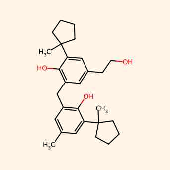 Cc1cc(Cc2cc(CCO)cc(C3(C)CCCC3)c2O)c(O)c(C2(C)CCCC2)c1